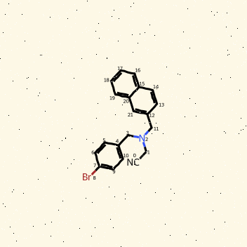 N#CCN(Cc1ccc(Br)cc1)Cc1ccc2ccccc2c1